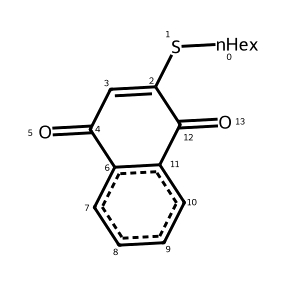 CCCCCCSC1=CC(=O)c2ccccc2C1=O